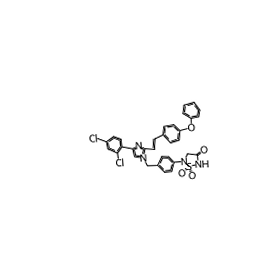 O=C1CN(c2ccc(Cn3cc(-c4ccc(Cl)cc4Cl)nc3C=Cc3ccc(Oc4ccccc4)cc3)cc2)S(=O)(=O)N1